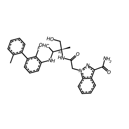 Cc1ccccc1-c1cccc(NC(C=O)[C@](C)(CO)NC(=O)Cn2nc(C(N)=O)c3ccccc32)c1F